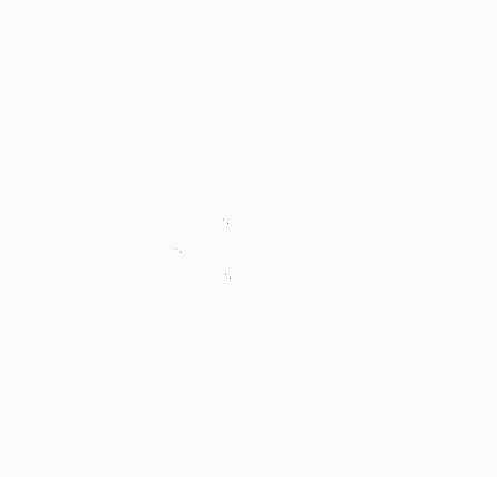 CCC(C)(C)c1ncnc(C)n1